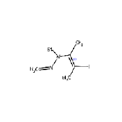 C=NN(CC)/C(=C(\C)I)C(F)(F)F